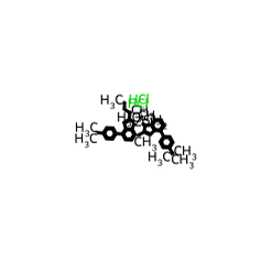 CCCC(C)C1=Cc2c(-c3ccc(C(C)C)cc3)cccc2[CH]1[Zr]([CH3])([CH3])(=[SiH2])[CH]1C(CC)=Cc2c(-c3ccc(C(C)(C)C)cc3)cccc21.Cl.Cl